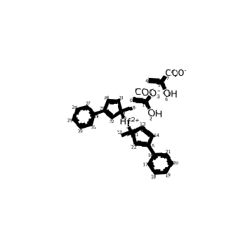 C=C(O)C(=O)[O-].C=C(O)C(=O)[O-].C[C]1([Hf+2][C]2(C)C=CC(c3ccccc3)=C2)C=CC(c2ccccc2)=C1